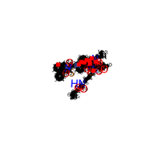 CCCC(OC(=O)N(CC[Si](C)(C)C)C[C@@H](O)CCC/C=C/CC(=O)N1C(=S)OC(c2ccccc2)(c2ccccc2)[C@@H]1C(C)C)(C(=O)O)[C@H](/C=C/CCCCCNC(=O)OCC[Si](C)(C)C)C(=O)N1C(=S)OC(c2ccccc2)(c2ccccc2)[C@@H]1C(C)C